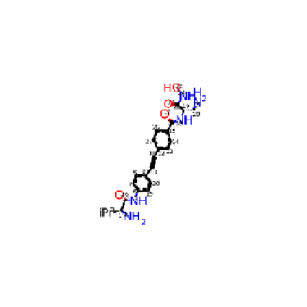 CC(C)[C@H](N)C(=O)Nc1ccc(C#Cc2ccc(C(=O)N[C@@H](CN)C(=O)NO)cc2)cc1